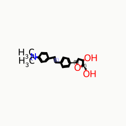 CN(C)c1ccc(/C=C/c2ccc([C@H]3CC(O)[C@@H](CO)O3)cc2)cc1